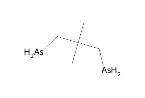 CC(C)(C[AsH2])C[AsH2]